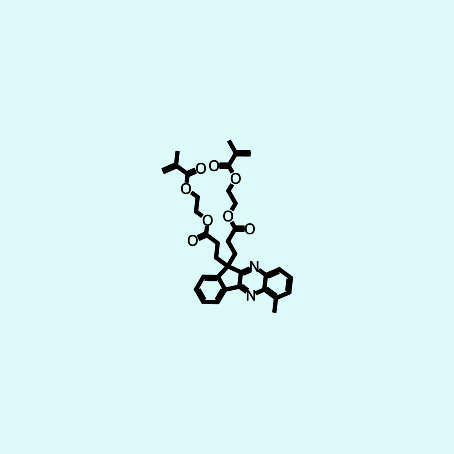 C=C(C)C(=O)OCCOC(=O)CCC1(CCC(=O)OCCOC(=O)C(=C)C)c2ccccc2-c2nc3c(C)cccc3nc21